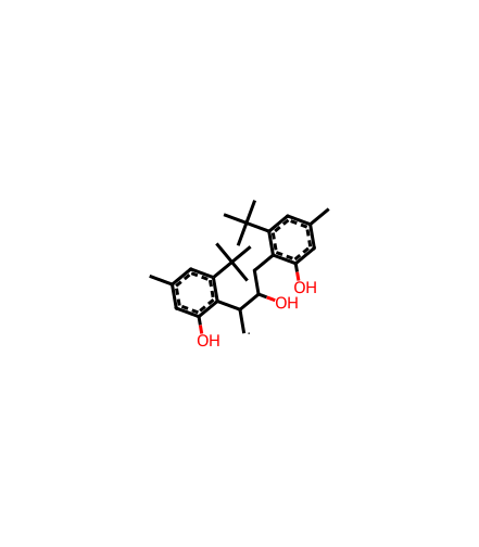 [CH2]C(c1c(O)cc(C)cc1C(C)(C)C)C(O)Cc1c(O)cc(C)cc1C(C)(C)C